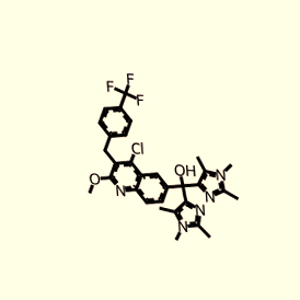 COc1nc2ccc(C(O)(c3nc(C)n(C)c3C)c3nc(C)n(C)c3C)cc2c(Cl)c1Cc1ccc(C(F)(F)F)cc1